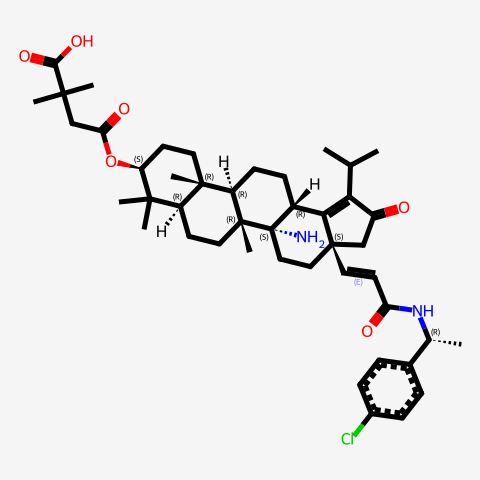 CC(C)C1=C2[C@H]3CC[C@@H]4[C@@]5(C)CC[C@H](OC(=O)CC(C)(C)C(=O)O)C(C)(C)[C@@H]5CC[C@@]4(C)[C@]3(N)CC[C@@]2(/C=C/C(=O)N[C@H](C)c2ccc(Cl)cc2)CC1=O